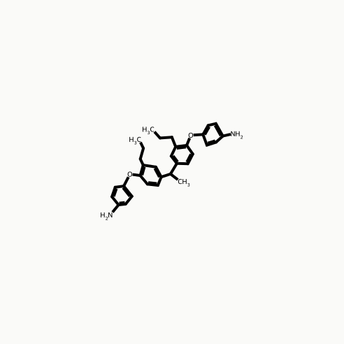 CCCc1cc(C(C)c2ccc(Oc3ccc(N)cc3)c(CCC)c2)ccc1Oc1ccc(N)cc1